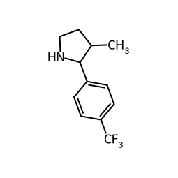 CC1CCNC1c1ccc(C(F)(F)F)cc1